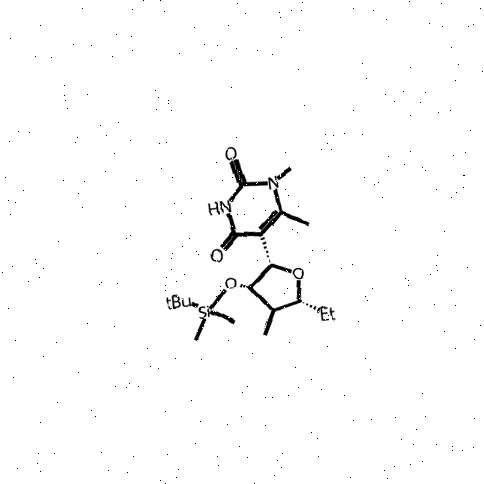 CC[C@H]1O[C@@H](c2c(C)n(C)c(=O)[nH]c2=O)[C@@H](O[Si](C)(C)C(C)(C)C)C1C